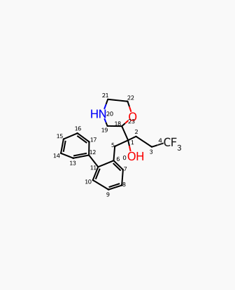 OC(CCC(F)(F)F)(Cc1ccccc1-c1ccccc1)C1CNCCO1